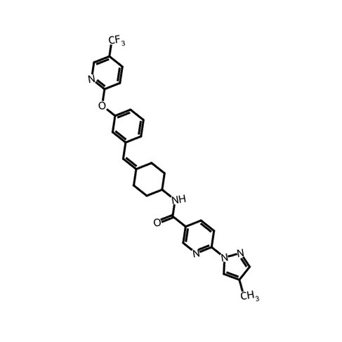 Cc1cnn(-c2ccc(C(=O)NC3CCC(=Cc4cccc(Oc5ccc(C(F)(F)F)cn5)c4)CC3)cn2)c1